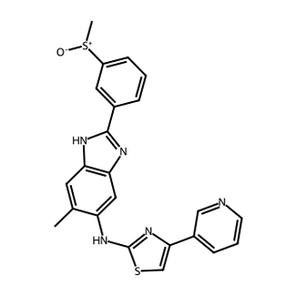 Cc1cc2[nH]c(-c3cccc([S+](C)[O-])c3)nc2cc1Nc1nc(-c2cccnc2)cs1